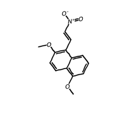 COc1ccc2c(OC)cccc2c1/C=C/[N+](=O)[O-]